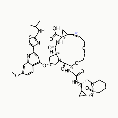 COc1ccc2c(O[C@@H]3C[C@H]4C(=O)N[C@]5(C(=O)O)CC5/C=C\CCCCC[C@H](NC(=O)N[C@H](CN5CCCCS5(=O)=O)C5CC5)C(=O)N4C3)cc(-c3csc(NC(C)C)n3)nc2c1